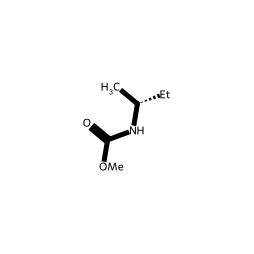 CC[C@@H](C)NC(=O)OC